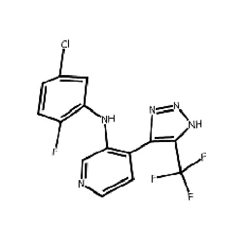 Fc1ccc(Cl)cc1Nc1cnccc1-c1nn[nH]c1C(F)(F)F